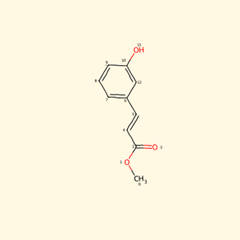 COC(=O)C=Cc1cc[c]c(O)c1